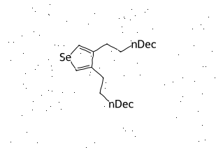 CCCCCCCCCCCCc1c[se]cc1CCCCCCCCCCCC